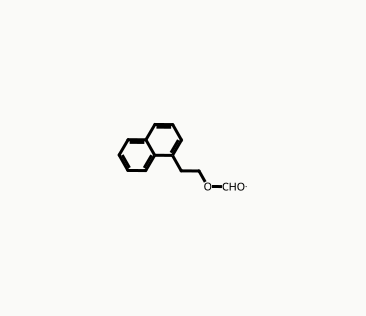 O=[C]OCCc1cccc2ccccc12